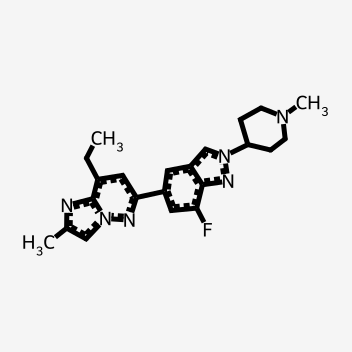 CCc1cc(-c2cc(F)c3nn(C4CCN(C)CC4)cc3c2)nn2cc(C)nc12